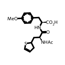 COc1ccc(C[C@H](NC(=O)[C@H](CC2CC=CS2)NC(C)=O)C(=O)O)cc1